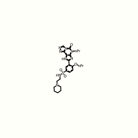 CCCOc1ccc(S(=O)(=O)NCCN2CCCCC2)cc1-c1nc2c([nH]1)c1nncn1c(=O)n2CCC